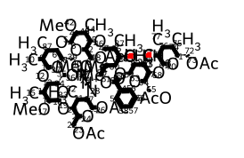 COCC1O[C@@H](O[C@H]2C(C)C(C)[C@@H](O[C@H]3C(C)C(OC)[C@H](O[C@@H]4C(COC(C)=O)OC(OC(C)=O)C(N=[N+]=[N-])[C@H]4C)O[C@H]3COC)O[C@H]2COC)C(OC)[C@@H](C)[C@@H]1O[C@@H]1OC(COC(=O)c2ccccc2)[C@@H](O[C@@H]2O[C@@H](COC(C)=O)[C@@H](O[C@H]3O[C@@H](COC(C)=O)[C@@H](C)C(C)C3C)C(C)C2OC(C)=O)[C@H](C)C1C